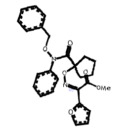 COC(=O)/C(=N\OC1(C(=O)N(OCc2ccccc2)c2ccccc2)CCCC1)c1ccco1